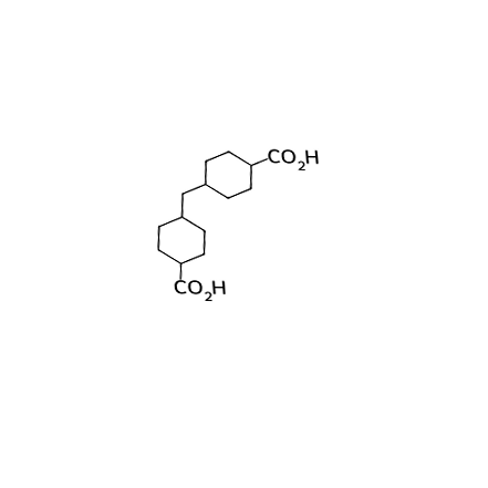 O=C(O)C1CCC(CC2CCC(C(=O)O)CC2)CC1